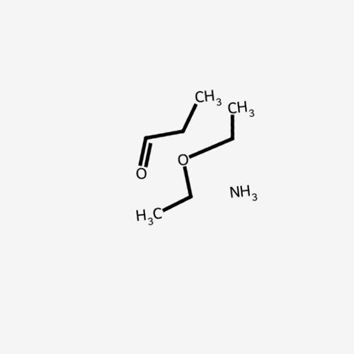 CCC=O.CCOCC.N